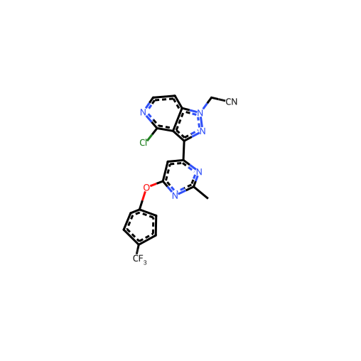 Cc1nc(Oc2ccc(C(F)(F)F)cc2)cc(-c2nn(CC#N)c3ccnc(Cl)c23)n1